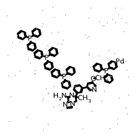 COc1cncc(-c2cccc(C3(C)Cn4ccnc4C(N)=N3)c2)c1.[Pd].c1ccc(P(c2ccccc2)c2ccccc2)cc1.c1ccc(P(c2ccccc2)c2ccccc2)cc1.c1ccc(P(c2ccccc2)c2ccccc2)cc1.c1ccc(P(c2ccccc2)c2ccccc2)cc1